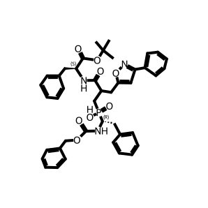 CC(C)(C)OC(=O)[C@H](Cc1ccccc1)NC(=O)C(Cc1cc(-c2ccccc2)no1)CP(=O)(O)[C@H](Cc1ccccc1)NC(=O)OCc1ccccc1